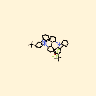 CC(C)(C)c1ccc2c(c1)c1ccccc1n2-c1ccc(C(F)(F)F)cc1-c1c(C#N)cccc1-n1c2ccccc2c2cc(C(C)(C)C)ccc21